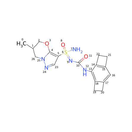 CC1COc2c(S(N)(=O)=NC(=O)Nc3c4c(cc5c3CC5)CC4)cnn2C1